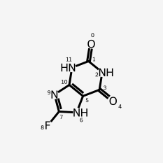 O=c1[nH]c(=O)c2[nH]c(F)nc2[nH]1